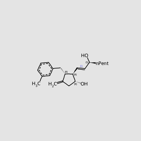 C=C1C[C@@H](O)[C@H](/C=C/[C@@H](O)CCCCC)[C@H]1Cc1cccc(C)c1